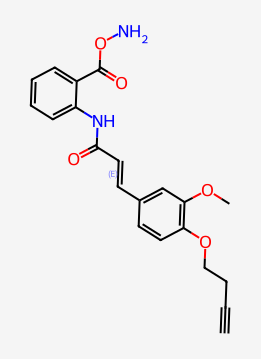 C#CCCOc1ccc(/C=C/C(=O)Nc2ccccc2C(=O)ON)cc1OC